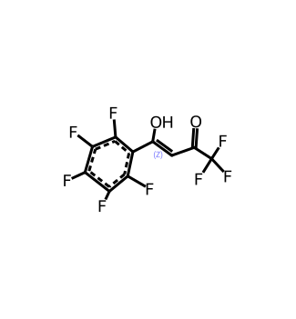 O=C(/C=C(\O)c1c(F)c(F)c(F)c(F)c1F)C(F)(F)F